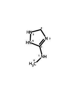 CNC1=NCNN1